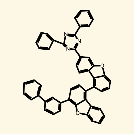 c1ccc(-c2cccc(-c3ccc(-c4cccc5oc6cc(-c7nc(-c8ccccc8)nc(-c8ccccc8)n7)ccc6c45)c4c3oc3ccccc34)c2)cc1